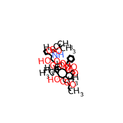 CCC(=O)O[C@H]1C[C@H]2OC[C@@]2(OC(C)=O)C2C(OC(=O)c3ccccc3)[C@]3(O)CC(OC(=O)C(O)C(NC(=O)OC(C)(C)C)c4ccco4)C(C)=C([C@@H](O)C(=O)[C@@]21C)C3(C)C